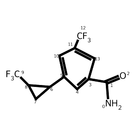 NC(=O)c1cc(C2CC2C(F)(F)F)cc(C(F)(F)F)c1